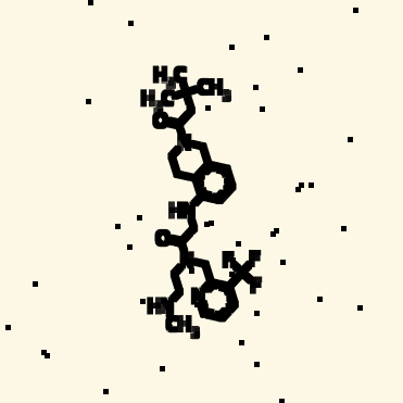 CNCCN(Cc1ncccc1C(F)(F)F)C(=O)CNc1cccc2c1CCN(C(=O)CC(C)(C)C)C2